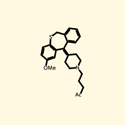 COc1ccc2c(c1)C(=C1CCN(CCCC(C)=O)CC1)c1ccccc1CS2